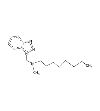 CCCCCCCCN(C)Cn1nnc2ccccc21